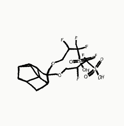 O=S(=O)(O)C(F)(F)C(F)COC1(OCC(F)C(F)(F)S(=O)(=O)O)C2CC3CC(C2)CC1C3